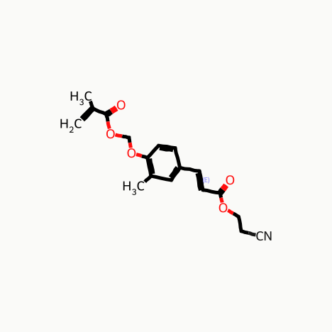 C=C(C)C(=O)OCOc1ccc(/C=C/C(=O)OCCC#N)cc1C